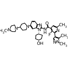 Cc1cc(C(=O)Nc2nc3ccc(N4CCC(N5CCN(C)CC5)CC4)cc3n2[C@H]2CC[C@@H](O)CC2)c(F)c(-c2cnn(C)c2C)n1